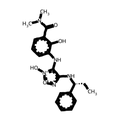 CC[C@@H](Nc1no[n+](O)c1Nc1cccc(C(=O)N(C)C)c1O)c1ccccc1